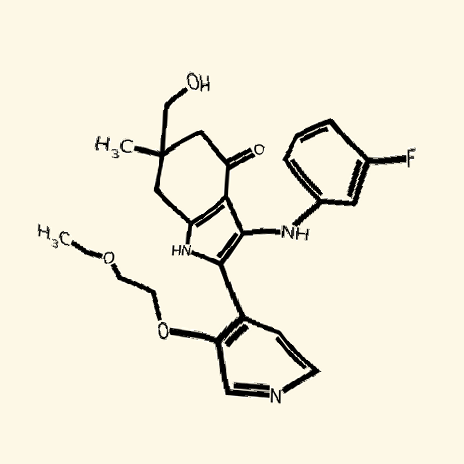 COCCOc1cnccc1-c1[nH]c2c(c1Nc1cccc(F)c1)C(=O)CC(C)(CO)C2